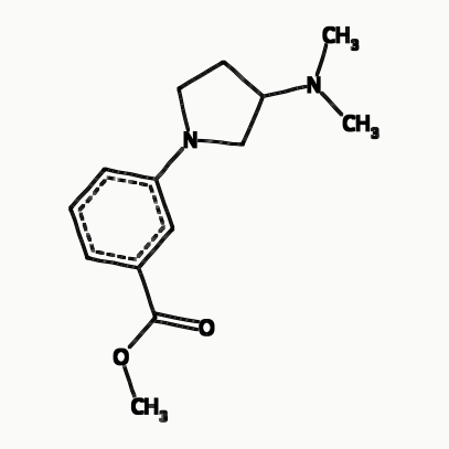 COC(=O)c1cccc(N2CCC(N(C)C)C2)c1